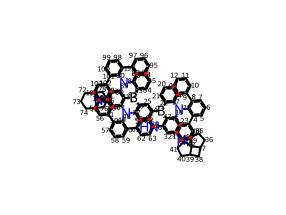 c1ccc(-c2cccc(-c3ccccc3)c2N2c3ccccc3B3c4cc5c(cc4Nc4cc(N6C7CC8CC9CC6CC89C7)cc2c43)N(c2c(-c3ccccc3)cccc2-c2ccccc2)c2cc(N3C4CCCC3CCC4)cc3c2B5c2ccccc2N3c2c(-c3ccccc3)cccc2-c2ccccc2)cc1